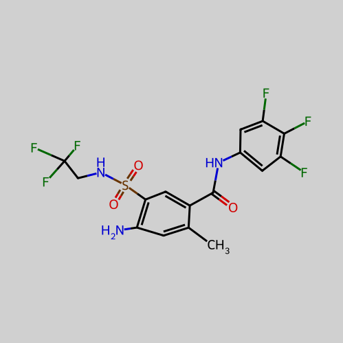 Cc1cc(N)c(S(=O)(=O)NCC(F)(F)F)cc1C(=O)Nc1cc(F)c(F)c(F)c1